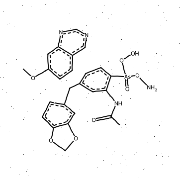 CC(=O)Nc1cc(Cc2ccc3c(c2)OCO3)ccc1[As](=O)(ON)OO.COc1ccc2cncnc2c1